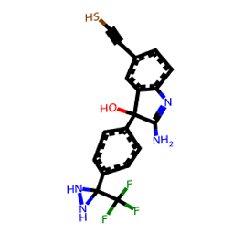 NC1=Nc2ccc(C#CS)cc2C1(O)c1ccc(C2(C(F)(F)F)NN2)cc1